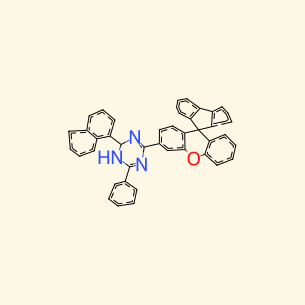 c1ccc(C2=NC(c3ccc4c(c3)Oc3ccccc3C43c4ccccc4-c4ccccc43)=NC(c3cccc4ccccc34)N2)cc1